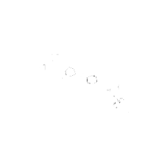 CC(O)(CCl)COc1c(Cl)cc(C(C)(C)c2ccc(OC[C@H](O)CNS(C)(=O)=O)cc2)cc1Cl